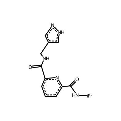 CC(C)NC(=O)c1cccc(C(=O)NCc2cn[nH]c2)n1